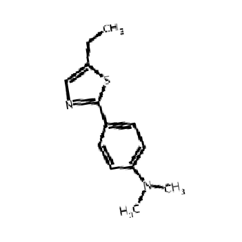 CCc1cnc(-c2ccc(N(C)C)cc2)s1